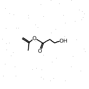 C=C(C)OC(=O)CCO